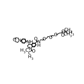 CC(=O)N1c2ccc(C(=O)NCCOCCOCCOCCC(=O)OC(C)(C)C)cc2[C@H](Nc2ccc(N3CCOCC3)cc2)C[C@@H]1C